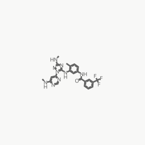 CNc1cc(-n2nc(NC)nc2Nc2cc(NC(=O)c3cccc(C(F)(F)F)c3)ccc2C)ncn1